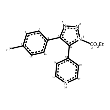 CCOC(=O)n1nnc(-c2ccc(F)cc2)c1-c1ccncc1